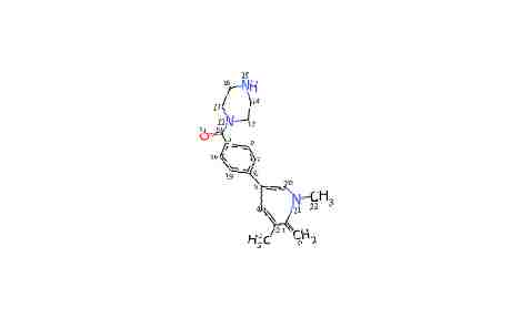 C=C1C(C)=CC(c2ccc(C(=O)N3CCNCC3)cc2)=CN1C